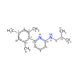 Cc1cc(C)c(-c2cccc(NCC(C)C)n2)c(C)c1